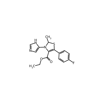 CCOC(=O)C1=C(c2ccc(F)cc2)SC(C)N1c1cnc[nH]1